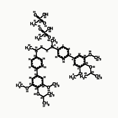 COc1cc(-c2ccc(N(C)CCN(C)c3ccc(-c4cc(OC)c(OC(C)C)c(OC)c4)nc3)cn2)cc(OC)c1OC(C)C.CS(=O)(=O)O.CS(=O)(=O)O